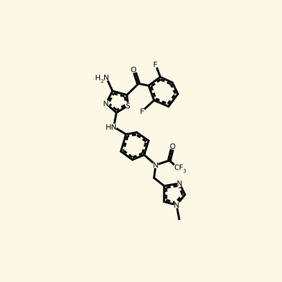 Cn1cnc(CN(C(=O)C(F)(F)F)c2ccc(Nc3nc(N)c(C(=O)c4c(F)cccc4F)s3)cc2)c1